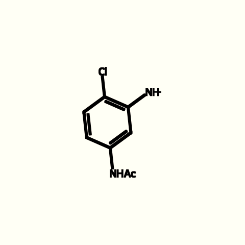 CC(=O)Nc1ccc(Cl)c([NH])c1